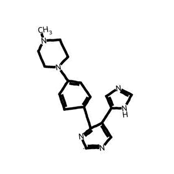 CN1CCN(c2ccc(-c3n[c]ncc3-c3cnc[nH]3)cc2)CC1